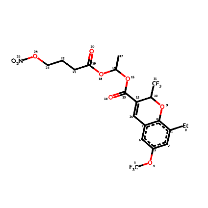 CCc1cc(OC(F)(F)F)cc2c1OC(C(F)(F)F)C(C(=O)OC(C)OC(=O)CCCO[N+](=O)[O-])=C2